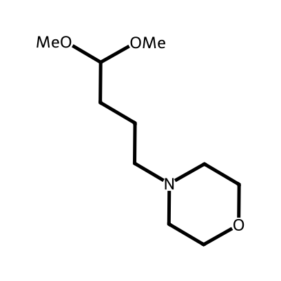 COC(CCCN1CCOCC1)OC